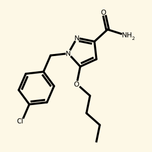 CCCCOc1cc(C(N)=O)nn1Cc1ccc(Cl)cc1